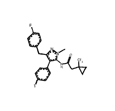 Cn1nc(Cc2ccc(F)cc2)c(-c2ccc(F)cc2)c1NC(=O)CC1(C(F)(F)F)CC1